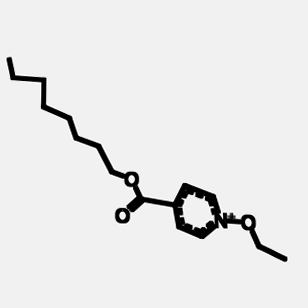 CCCCCCCCOC(=O)c1cc[n+](OCC)cc1